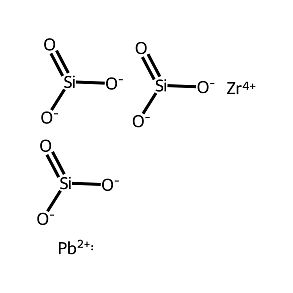 O=[Si]([O-])[O-].O=[Si]([O-])[O-].O=[Si]([O-])[O-].[Pb+2].[Zr+4]